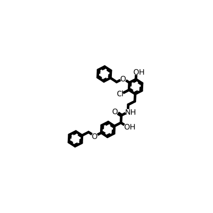 O=C(NCCc1ccc(O)c(OCc2ccccc2)c1Cl)C(O)c1ccc(OCc2ccccc2)cc1